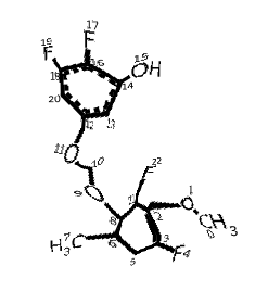 COC1=C(F)CC(C)C(OCOc2cc(O)c(F)c(F)c2)C1F